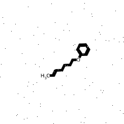 CC=CCCCCOc1c[c]ccc1